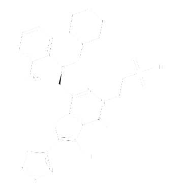 COc1ccccc1[C@H](Cc1nn(CCS(C)(=O)=O)c(=O)c2c(C)c(-c3ncco3)sc12)OC1CCOCC1